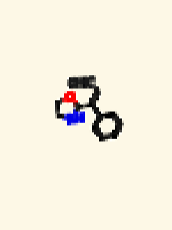 O=CC=C(c1ccccc1)C1NCCO1